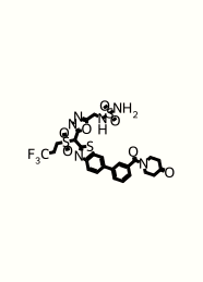 NS(=O)(=O)NCc1nnc(C(c2nc3ccc(-c4cccc(C(=O)N5CCC(=O)CC5)c4)cc3s2)S(=O)(=O)CCC(F)(F)F)o1